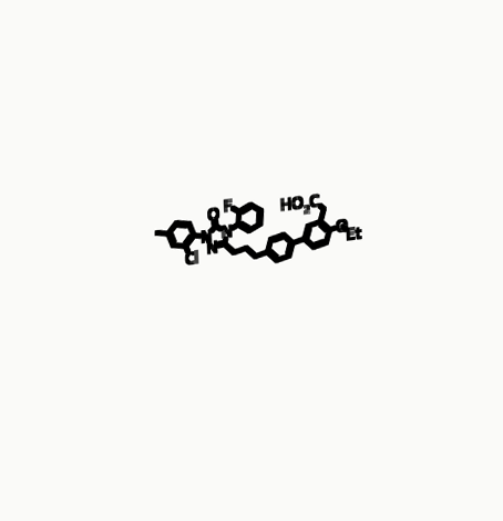 CCOc1ccc(-c2ccc(CCCc3nn(-c4ccc(C)cc4Cl)c(=O)n3-c3ccccc3F)cc2)cc1CC(=O)O